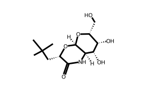 CC(C)(C)C[C@@H]1O[C@H]2O[C@H](CO)[C@H](O)[C@H](O)[C@H]2NC1=O